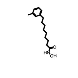 Cc1cccc(CCCCCCCCC(=O)NO)c1